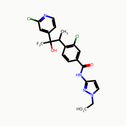 CC(c1ccc(C(=O)Nc2ccn(CC(=O)O)n2)cc1Cl)C(O)(c1ccnc(Cl)c1)C(F)(F)F